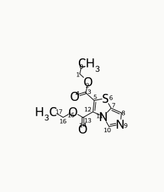 CCOC(=O)c1sc2cncn2c1C(=O)OCC